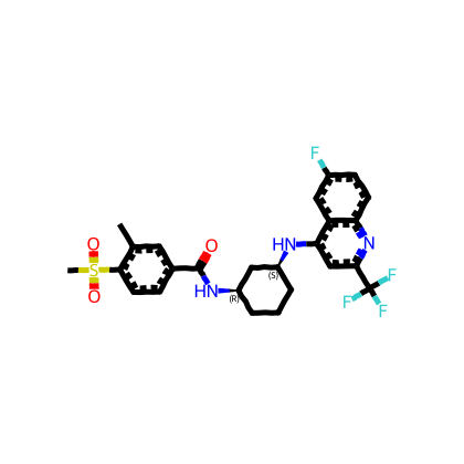 Cc1cc(C(=O)N[C@@H]2CCC[C@H](Nc3cc(C(F)(F)F)nc4ccc(F)cc34)C2)ccc1S(C)(=O)=O